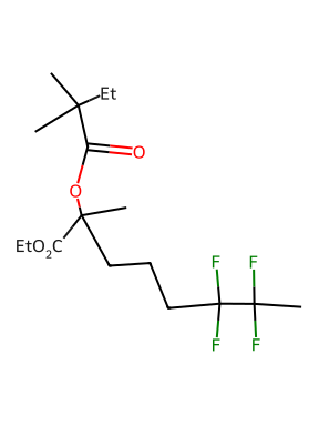 CCOC(=O)C(C)(CCCC(F)(F)C(C)(F)F)OC(=O)C(C)(C)CC